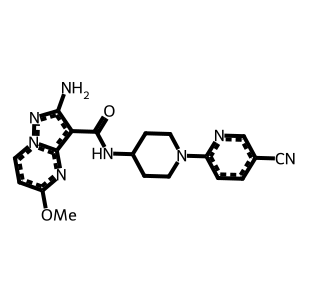 COc1ccn2nc(N)c(C(=O)NC3CCN(c4ccc(C#N)cn4)CC3)c2n1